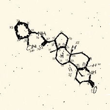 C[C@]12CCC(=O)N[C@@H]1CC[C@@H]1[C@@H]2CC[C@]2(C)[C@@H](C(=O)Nc3ccccc3C#N)CC[C@@H]12